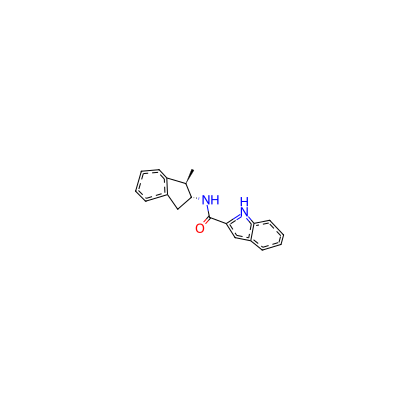 C[C@@H]1c2ccccc2C[C@H]1NC(=O)c1cc2ccccc2[nH]1